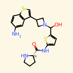 Nc1ccc2scc(C3CN(C(O)c4ccc(NC(=O)[C@@H]5CCCN5)s4)C3)c2c1